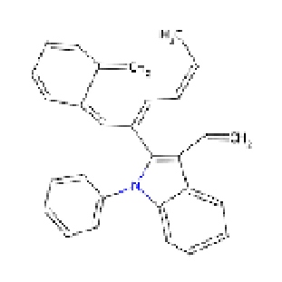 C=Cc1c(C(=C\C=C/C)/C=c2/ccccc2=C)n(-c2ccccc2)c2ccccc12